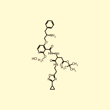 COc1nccc(OCC(N)Cc2ccccc2)c1C(=O)NNC(CC(=O)OC(C)(C)C)C(=O)NCCc1nc(C2CC2)no1.Cl